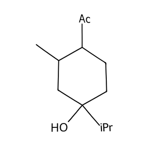 CC(=O)C1CCC(O)(C(C)C)CC1C